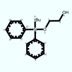 CC(C)(C)[Si](OC[CH]O)(c1ccccc1)c1ccccc1